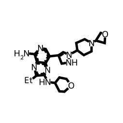 CCc1nc2c(N)ncc(C3=CN(C4CCN(C5COC5)CC4)NC3)c2nc1NC1CCOCC1